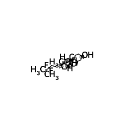 CC(C)C(F)(F)CCC[C@H]1CC[C@H]2[C@@H]3CC=C4C[C@@H](O)CC[C@]4(C)[C@H]3CC[C@]12C